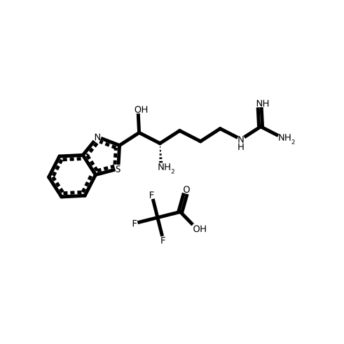 N=C(N)NCCC[C@H](N)C(O)c1nc2ccccc2s1.O=C(O)C(F)(F)F